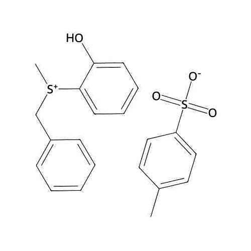 C[S+](Cc1ccccc1)c1ccccc1O.Cc1ccc(S(=O)(=O)[O-])cc1